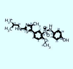 COc1ccc(-c2sc(NCC(C)C)nc2C)cc1S(=O)(=O)Nc1ccc(O)cc1